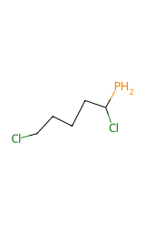 PC(Cl)CCCCCl